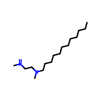 CCCCCCCCCCCCN(C)CCNC